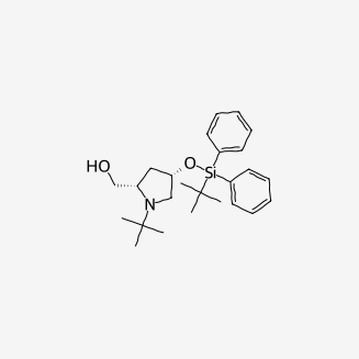 CC(C)(C)N1C[C@@H](O[Si](c2ccccc2)(c2ccccc2)C(C)(C)C)C[C@H]1CO